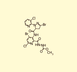 COC(=O)NNC(=O)c1nc(Cl)cc(Br)c1NC(=O)C1CC(Br)=NN1c1ncccc1Cl